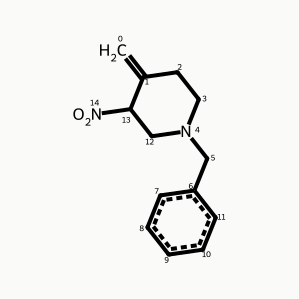 C=C1CCN(Cc2ccccc2)CC1[N+](=O)[O-]